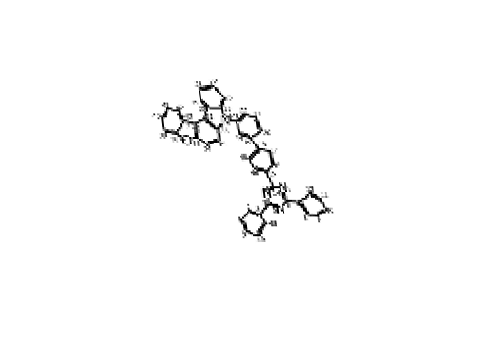 c1ccc(-c2nc(-c3ccccc3)nc(-c3ccc(-c4cccc(-n5c6ccccc6c6c7c(ccc65)oc5ccccc57)c4)cc3)n2)cc1